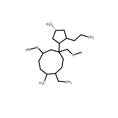 CCCC1C[C@@H](C)CC1C1(CSI)CCC(CC)C(C)CCC(SS)C1